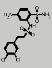 Nc1ccc(S(N)(=O)=O)c(NS(=O)(=O)CCc2ccc(Cl)c(Cl)c2)c1